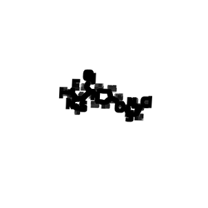 O=NCC(c1scnc1C(F)F)N1CCC(COc2nc(Cl)cs2)CC1